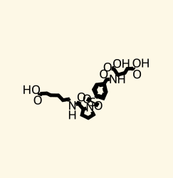 O=C(O)CCCCCNC(=O)C1CCCN1S(=O)(=O)c1ccc(C(=O)NC(CCC(=O)O)C(=O)O)cc1